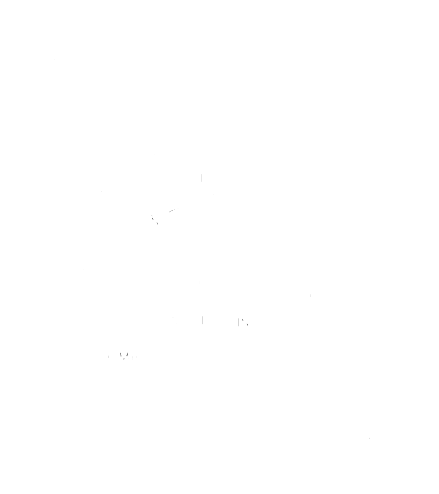 COc1ccc2c3c1O[C@@H]1[C@@H](NC(=O)/C=C/c4ccoc4)CC[C@]4(O)[C@H](C2)N(S(=O)(=O)c2ccc(C(F)(F)F)cc2)CC[C@@]314